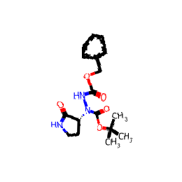 CC(C)(C)OC(=O)N(NC(=O)OCc1ccccc1)[C@@H]1CCNC1=O